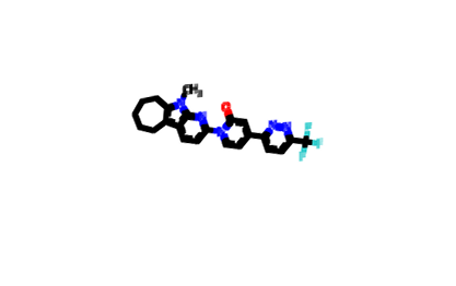 Cn1c2c(c3ccc(-n4ccc(-c5ccc(C(F)(F)F)nn5)cc4=O)nc31)CCCCC2